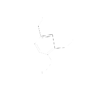 CCOc1ccc(C[O])cc1OCC